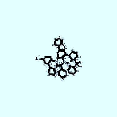 CC(C)(C)c1ccc(N2c3cc4c(oc5ccccc54)c4c3B(c3c2oc2ccccc32)N2c3ccccc3C(C)(C)c3cccc-4c32)c(-c2ccccc2)c1